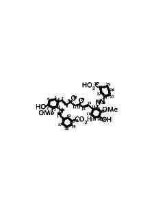 COc1c(O)ccc(C=CC(=O)CC(=O)C=Cc2ccc(O)c(OC)c2N=Nc2cccc(C(=O)O)c2)c1N=Nc1cccc(C(=O)O)c1